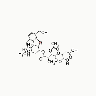 CC(=O)O[C@@H](C(=O)O[C@H](CC(=O)O)C(=O)O)[C@@H](C)C(=O)OC1=CC[C@@]2(O)[C@H]3Cc4ccc(CO)c5c4[C@@]2(CCN3C)[C@H]1O5